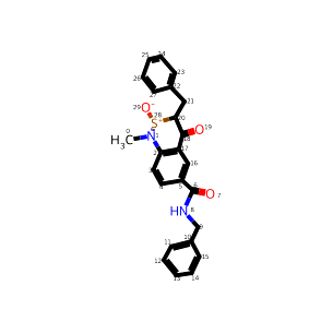 CN1c2ccc(C(=O)NCc3ccccc3)cc2C(=O)C(Cc2ccccc2)[S+]1[O-]